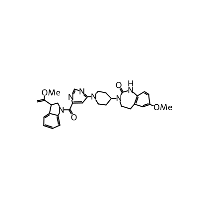 C=C(OC)C1CN(C(=O)c2cc(N3CCC(N4CCc5cc(OC)ccc5NC4=O)CC3)ncn2)c2ccccc21